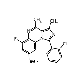 COc1cc(F)c2nc(C)c3c(C)nc(-c4ccccc4Cl)n3c2c1